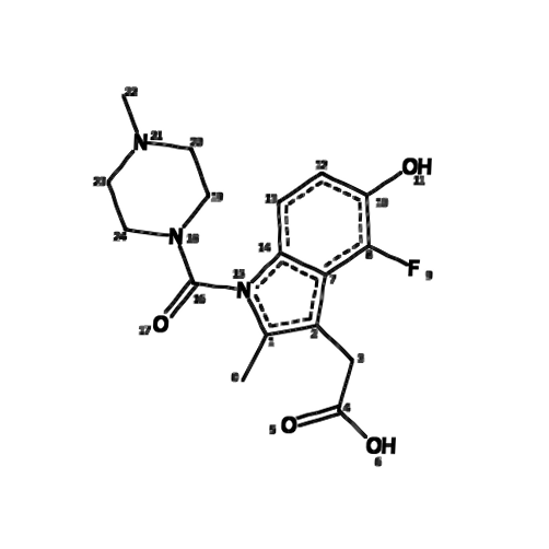 Cc1c(CC(=O)O)c2c(F)c(O)ccc2n1C(=O)N1CCN(C)CC1